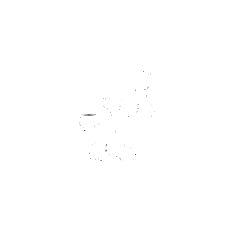 c1ccc2c(-c3cccc4c3oc3ccccc34)nc(-n3c4ccccc4c4ccc5sc6ccccc6c5c43)nc2c1